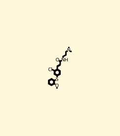 COc1ccccc1Sc1ccc(C=CC(=O)NCCCN(C)C)c(Cl)c1